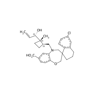 C=C[C@H](O)[C@@]1(C)CC[C@@H]1CN1CC2(CCCc3cc(Cl)ccc32)COc2ccc(C(=O)O)cc21